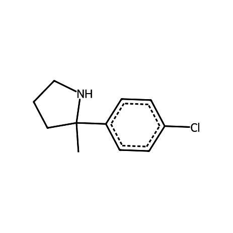 CC1(c2ccc(Cl)cc2)CCCN1